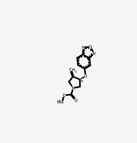 C=C1CN(C(=O)OC(C)(C)C)C[C@@H]1Oc1ccc2nonc2c1